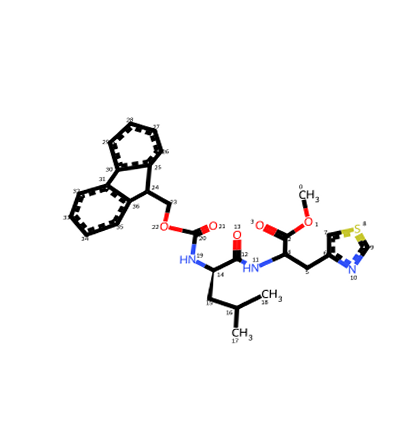 COC(=O)C(Cc1cscn1)NC(=O)[C@@H](CC(C)C)NC(=O)OCC1c2ccccc2-c2ccccc21